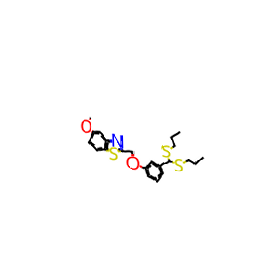 CCCSC(SCCC)c1cccc(OCc2nc3cc(OC)ccc3s2)c1